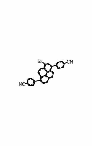 N#Cc1ccc(-c2ccc3ccc4c(-c5ccc(C#N)cc5)cc(Br)c5ccc2c3c54)cc1